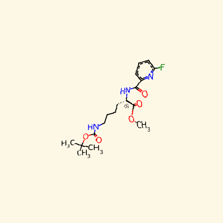 COC(=O)[C@H](CCCCNC(=O)OC(C)(C)C)NC(=O)c1cccc(F)n1